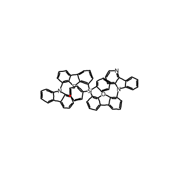 c1ccc([Si](c2ccccc2)(c2cccc3c2oc2c(-n4c5ccccc5c5ncccc54)cccc23)c2cccc3c2sc2c(-n4c5ccccc5c5ccccc54)cccc23)cc1